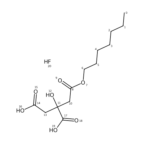 CCCCCCCOC(=O)CC(O)(CC(=O)O)C(=O)O.F